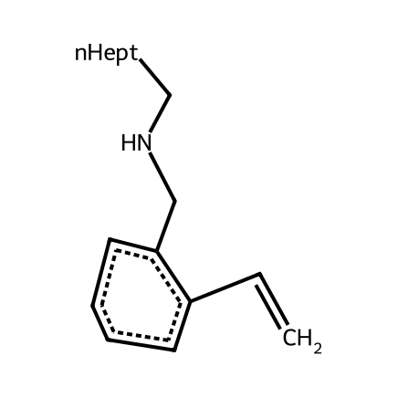 C=Cc1ccccc1CNCCCCCCCC